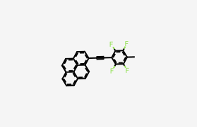 Cc1c(F)c(F)c(C#Cc2ccc3ccc4cccc5ccc2c3c45)c(F)c1F